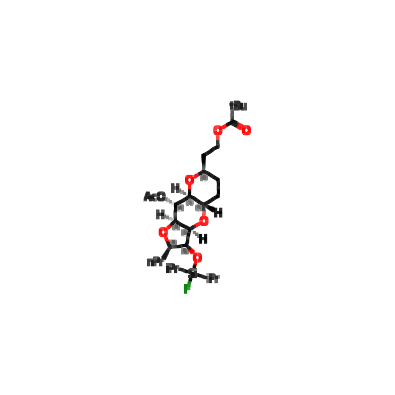 [CH2][CH]C[C@H]1O[C@@H]2[C@@H](O[C@H]3CC[C@H](CCOC(=O)C(C)(C)C)O[C@@H]3[C@H]2OC(C)=O)[C@H]1O[Si](F)(C(C)C)C(C)C